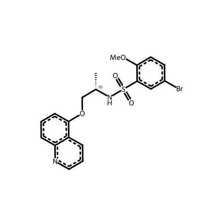 COc1ccc(Br)cc1S(=O)(=O)N[C@@H](C)COc1cccc2ncccc12